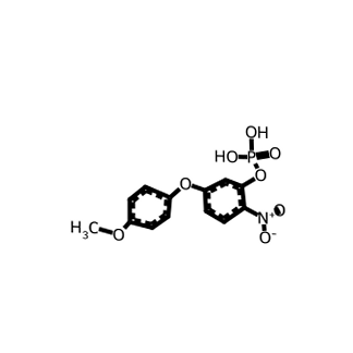 COc1ccc(Oc2ccc([N+](=O)[O-])c(OP(=O)(O)O)c2)cc1